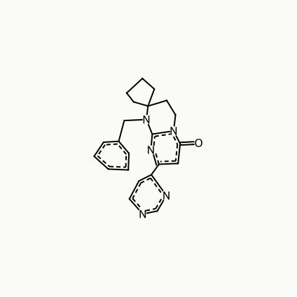 O=c1cc(-c2ccncn2)nc2n1CCC1(CCCC1)N2Cc1ccccc1